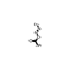 CCN=NOC(=O)C(C)C